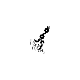 CC(C)CCN(c1ccc(CCc2ccc(Cl)cc2)cc1)[C@H]1CCN(CC(N)CC(C)C)C1